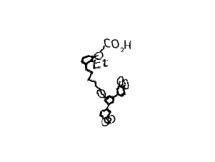 CCc1c(CCCCCCOc2cc(-c3ccc4c(c3)OCO4)cc(-c3ccc4c(c3)OCO4)c2)cccc1OCCCC(=O)O